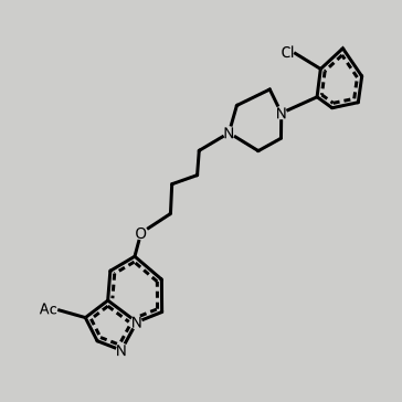 CC(=O)c1cnn2ccc(OCCCCN3CCN(c4ccccc4Cl)CC3)cc12